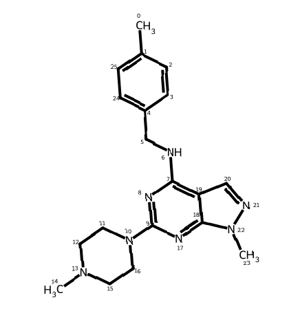 Cc1ccc(CNc2nc(N3CCN(C)CC3)nc3c2cnn3C)cc1